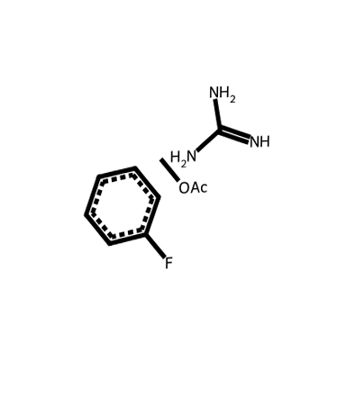 COC(C)=O.Fc1ccccc1.N=C(N)N